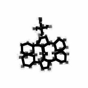 C1CCC(N2CCN(C3CCCCC3)[C]2=[Cu]=[C]2N(C3CCCCC3)CCN2C2CCCCC2)CC1.F[B-](F)(F)F